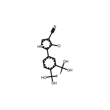 N#Cc1c[nH]c(-c2ccc(C(O)(O)F)c(C(O)(O)F)c2)c1Cl